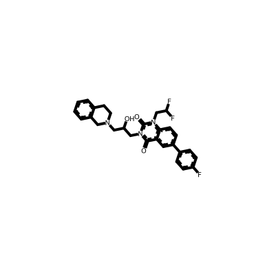 O=c1c2cc(-c3ccc(F)cc3)ccc2n(CC(F)F)c(=O)n1CC(O)CN1CCc2ccccc2C1